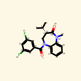 CC(C)[C@H]1CN(C(=O)c2cc(F)cc(F)c2)c2ccccc2N(C)C1=O